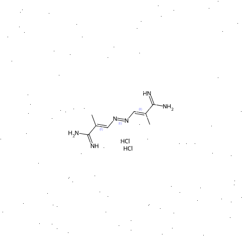 C\C(=C/N=N/C=C(\C)C(=N)N)C(=N)N.Cl.Cl